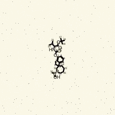 CCC1(c2cccc(OC(=O)N[C@H](C(=O)OC(C)(C)C)C(C)C)c2)CCCCN(B(C)O)C1